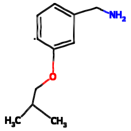 CC(C)COc1[c]ccc(CN)c1